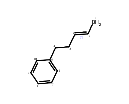 B/C=C/CCc1ccccc1